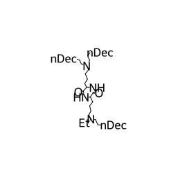 CCCCCCCCCCCCN(CC)CCCCC1NC(=O)C(CCCCN(CCCCCCCCCCCC)CCCCCCCCCCCC)NC1=O